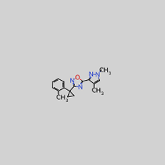 Cc1ccccc1C1(c2noc(-c3nn(C)cc3C)n2)CC1